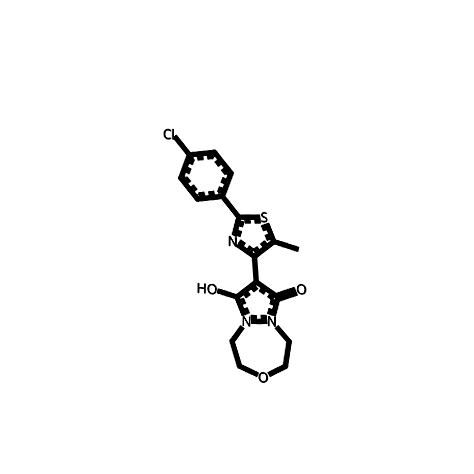 Cc1sc(-c2ccc(Cl)cc2)nc1-c1c(O)n2n(c1=O)CCOCC2